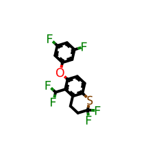 Fc1cc(F)cc(Oc2ccc3c(c2C(F)F)CCC(F)(F)S3)c1